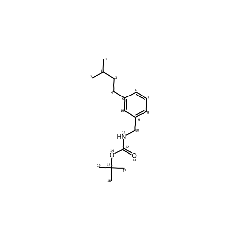 CC(C)CCc1cccc(CNC(=O)OC(C)(C)C)c1